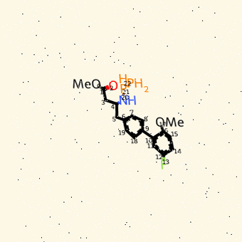 COC(=O)CC(Cc1ccc(-c2cc(F)ccc2OC)cc1)NPP